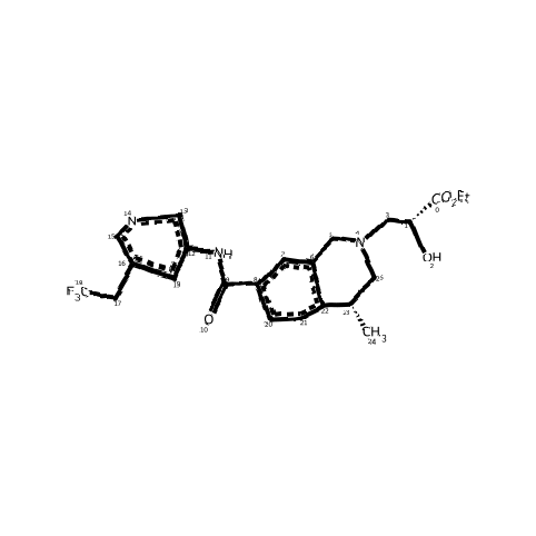 CCOC(=O)[C@H](O)CN1Cc2cc(C(=O)Nc3cncc(CC(F)(F)F)c3)ccc2[C@@H](C)C1